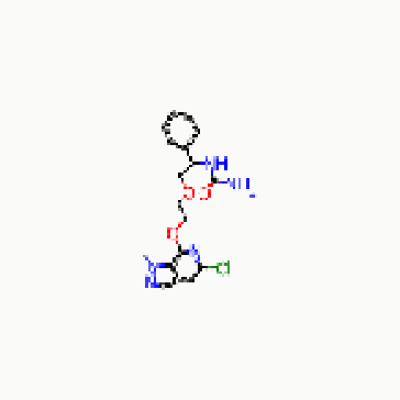 Cn1ncc2cc(Cl)nc(OCCOCC(NC(N)=O)c3ccccc3)c21